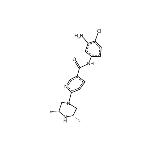 C[C@@H]1CN(c2ccc(C(=O)Nc3ccc(Cl)c(N)c3)cn2)C[C@H](C)N1